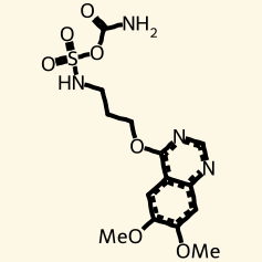 COc1cc2ncnc(OCCCNS(=O)(=O)OC(N)=O)c2cc1OC